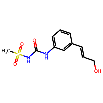 CS(=O)(=O)NC(=O)Nc1cccc(/C=C/CO)c1